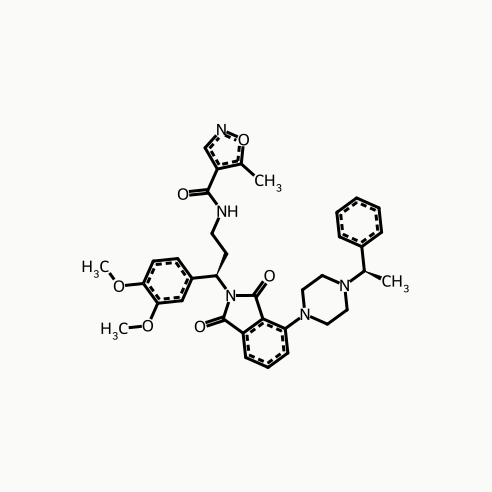 COc1ccc([C@@H](CCNC(=O)c2cnoc2C)N2C(=O)c3cccc(N4CCN([C@H](C)c5ccccc5)CC4)c3C2=O)cc1OC